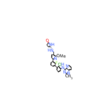 COc1nc(-c2cccc(-c3cccc(Nc4nc(C)nc5cccnc45)c3Cl)c2F)ccc1CNC[C@@H]1CCC(=O)N1